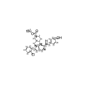 CC(C)(C)OC(=O)N1CCCC(Cn2c(-c3ccccc3Cl)cc3cnc(NCc4ccc(O)cc4)nc32)C1